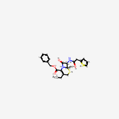 CC(=O)OCC1=C(C(=O)OCc2ccccc2)N2C(=O)[C@@H](NC(=O)Cc3cccs3)[C@@H]2SC1